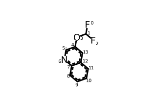 FC(F)Oc1[c]nc2ccccc2c1